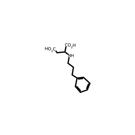 O=C(O)CC(NCCCc1ccccc1)C(=O)O